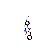 COc1ccc2c(c1)SC1=NC(=O)C(Cc3ccccc3)C(=O)N12